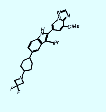 COc1cc(-c2[nH]c3ccc(C4CCC(N5CC(F)(F)C5)CC4)cc3c2C(C)C)cn2ncnc12